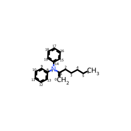 C=C(CCCCC)N(c1ccccc1)c1ccccc1